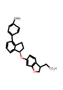 COc1ccc(-c2cccc3c2CC[C@H]3Oc2ccc3c(c2)OCC3CC(=O)O)cc1